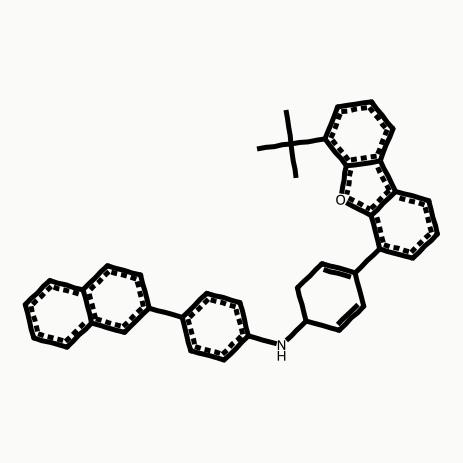 CC(C)(C)c1cccc2c1oc1c(C3=CCC(Nc4ccc(-c5ccc6ccccc6c5)cc4)C=C3)cccc12